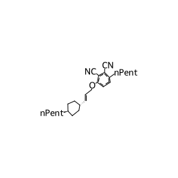 CCCCCc1ccc(OC/C=C/[C@H]2CC[C@H](CCCCC)CC2)c(C#N)c1C#N